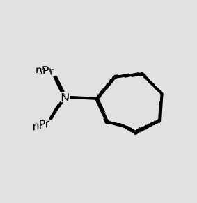 CCCN(CCC)C1CCCCCC1